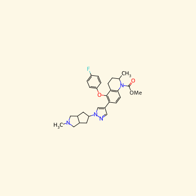 COC(=O)N1c2ccc(-c3cnn(C4CC5CN(C)CC5C4)c3)c(Oc3ccc(F)cc3)c2CCC1C